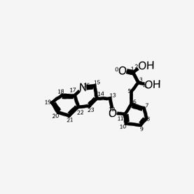 O=C(O)C(O)Cc1ccccc1OCc1cnc2ccccc2c1